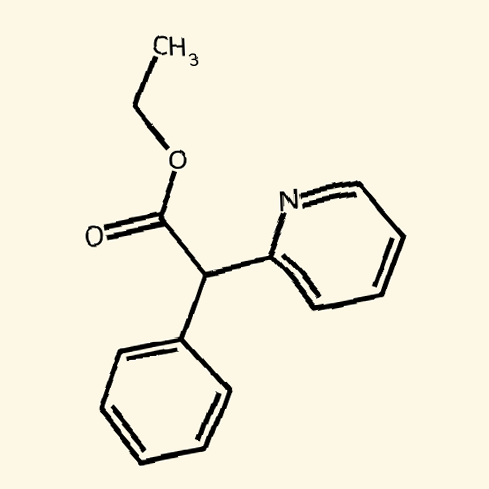 CCOC(=O)C(c1ccccc1)c1ccccn1